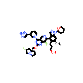 Cc1cc2c(cnn2C2CCCCO2)c(-c2ncc3c(N4C=CC=C(c5cn[nH]n5)C4)nc(OC[C@@]45CCCN4C[C@H](F)C5)nc3c2F)c1CCCO